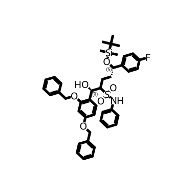 CC(C)(C)[Si](C)(C)O[C@@H](CCC([C@H](O)c1ccc(OCc2ccccc2)cc1OCc1ccccc1)S(=O)(=O)Nc1ccccc1)c1ccc(F)cc1